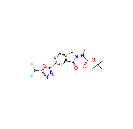 CN(C(=O)OC(C)(C)C)N1Cc2ccc(-c3nnc(C(F)F)o3)cc2C1=O